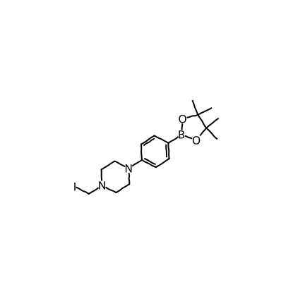 CC1(C)OB(c2ccc(N3CCN(CI)CC3)cc2)OC1(C)C